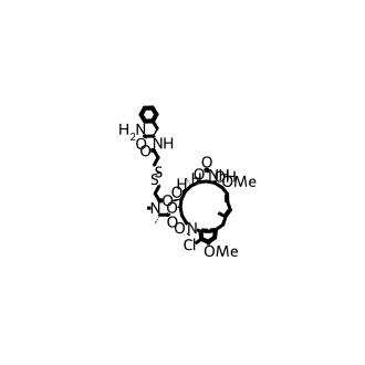 COc1cc2cc(c1Cl)N(C)C(=O)C[C@H](OC(=O)[C@H](C)N(C)C(=O)CCSSCCC(=O)N[C@H](Cc1ccccc1)C(N)=O)[C@]1(C)O[C@H]1[C@H](C)[C@@H]1C[C@@](O)(NC(=O)O1)[C@H](OC)/C=C/C=C(\C)C2